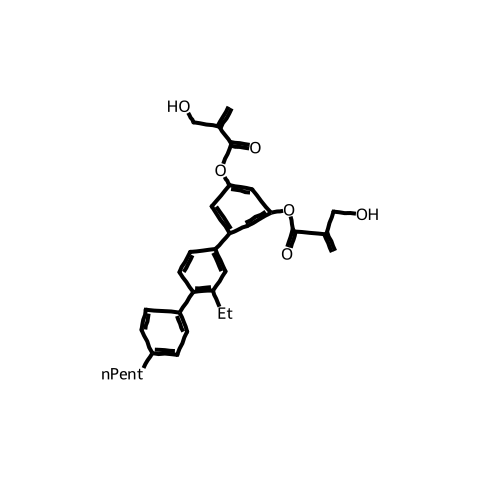 C=C(CO)C(=O)Oc1cc(OC(=O)C(=C)CO)cc(-c2ccc(-c3ccc(CCCCC)cc3)c(CC)c2)c1